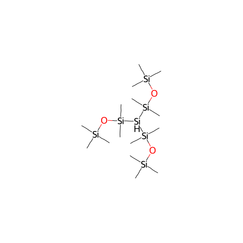 C[Si](C)(C)O[Si](C)(C)[SiH]([Si](C)(C)O[Si](C)(C)C)[Si](C)(C)O[Si](C)(C)C